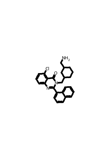 NCC1CCCC(Cn2c(-c3cccc4ccccc34)nc3cccc(Cl)c3c2=O)C1